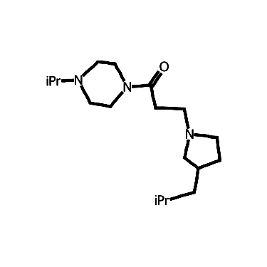 CC(C)CC1CCN(CCC(=O)N2CCN(C(C)C)CC2)C1